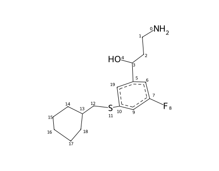 NCCC(O)c1cc(F)cc(SCC2CCCCC2)c1